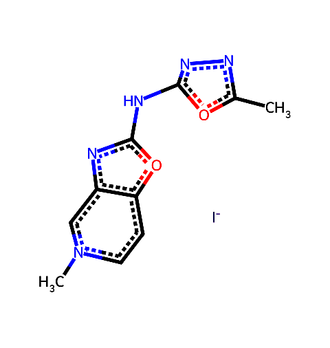 Cc1nnc(Nc2nc3c[n+](C)ccc3o2)o1.[I-]